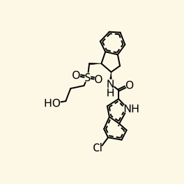 O=C(N[C@@H]1Cc2ccccc2[C@@H]1CS(=O)(=O)CCCO)c1cc2cc(Cl)ccc2[nH]1